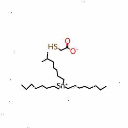 CCCCCCC[CH2][Sn+]([CH2]CCCCCCC)[CH2]CCCCC(C)C.O=C([O-])CS